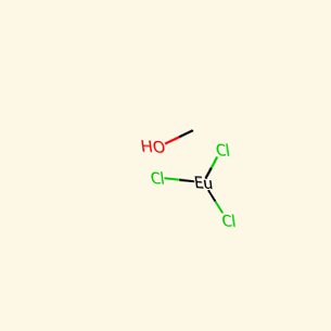 CO.[Cl][Eu]([Cl])[Cl]